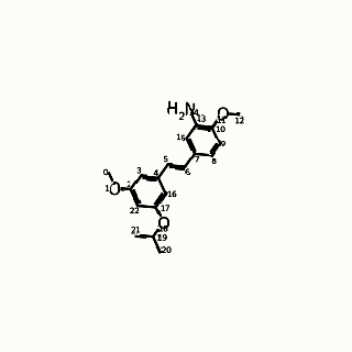 COc1cc(C=Cc2ccc(OC)c(N)c2)cc(OC(C)C)c1